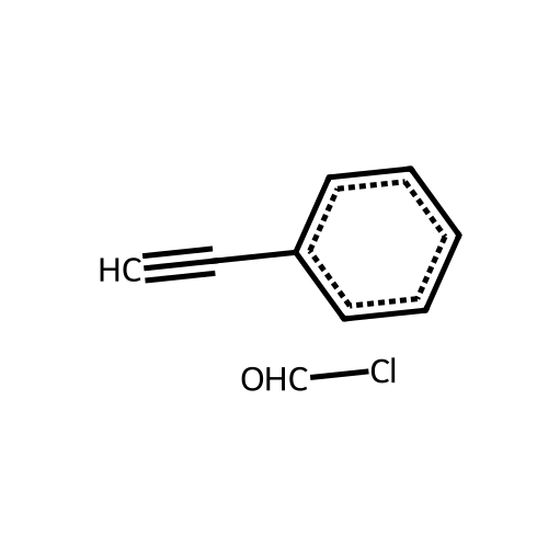 C#Cc1ccccc1.O=CCl